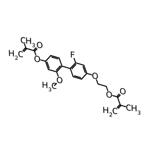 C=C(C)C(=O)OCCOc1ccc(-c2ccc(OC(=O)C(=C)C)cc2OC)c(F)c1